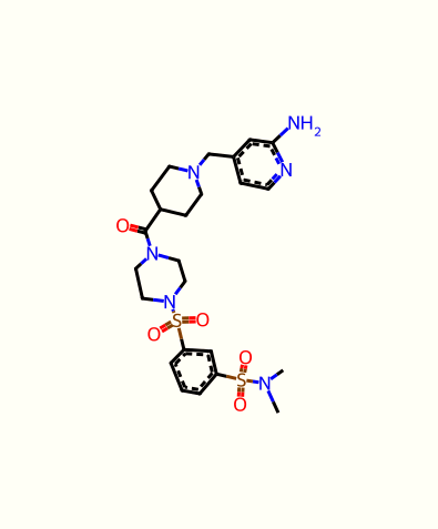 CN(C)S(=O)(=O)c1cccc(S(=O)(=O)N2CCN(C(=O)C3CCN(Cc4ccnc(N)c4)CC3)CC2)c1